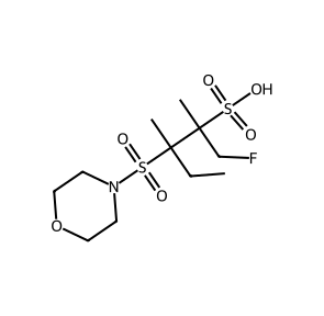 CCC(C)(C(C)(CF)S(=O)(=O)O)S(=O)(=O)N1CCOCC1